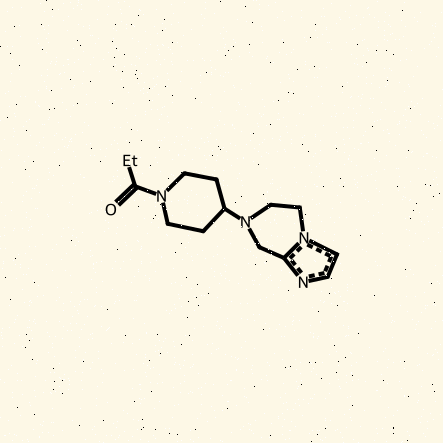 CCC(=O)N1CCC(N2CCn3ccnc3C2)CC1